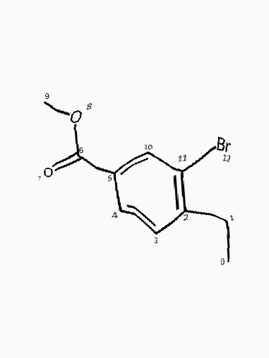 CCc1ccc(C(=O)OC)cc1Br